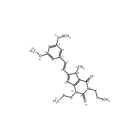 CCCn1c(=O)c2c(nc(/C=C/c3cc(OC)cc(OC)c3)n2C)n(CCC)c1=O